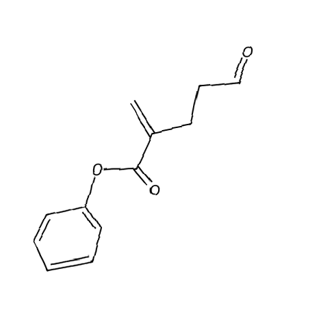 C=C(CCC=O)C(=O)Oc1ccccc1